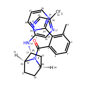 Cc1cccc(C(=O)N2[C@@H]3CC[C@H]2[C@H](Nc2cnc(C(F)(F)F)cn2)C3)c1-c1ncccn1